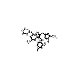 Cc1cc(Cc2nc3c(CN4CCOCC4)cc(N)nn3c2Cc2ccc(F)cc2F)n[nH]1